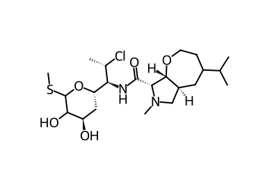 CSC1O[C@H]([C@H](NC(=O)[C@@H]2[C@@H]3OCCC(C(C)C)C[C@H]3CN2C)[C@H](C)Cl)C[C@@H](O)C1O